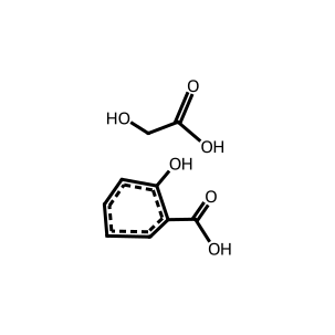 O=C(O)CO.O=C(O)c1ccccc1O